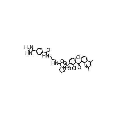 Cc1cc(C)c2cccc(C(=O)c3c(Cl)ccc(S(=O)(=O)N4CCCC4C(=O)NCCCNC(=O)c4ccc(C(=N)N)cc4)c3Cl)c2n1